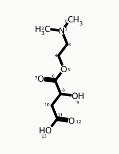 CN(C)CCOC(=O)C(O)CC(=O)O